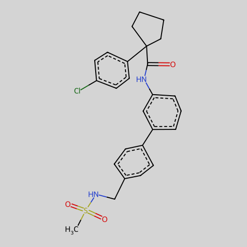 CS(=O)(=O)NCc1ccc(-c2cccc(NC(=O)C3(c4ccc(Cl)cc4)CCCC3)c2)cc1